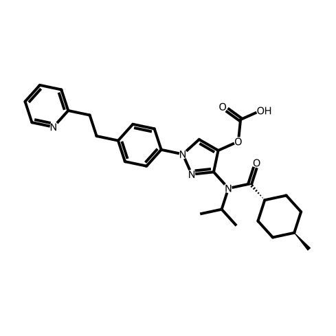 CC(C)N(c1nn(-c2ccc(CCc3ccccn3)cc2)cc1OC(=O)O)C(=O)[C@H]1CC[C@H](C)CC1